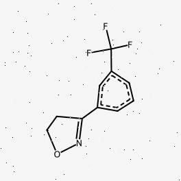 FC(F)(F)c1cccc(C2=NOCC2)c1